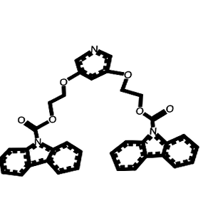 O=C(OCCOc1cncc(OCCOC(=O)n2c3ccccc3c3ccccc32)c1)n1c2ccccc2c2ccccc21